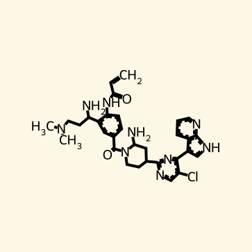 C=CC(=O)Nc1ccc(C(=O)N2CCC(c3ncc(Cl)c(-c4c[nH]c5ncccc45)n3)CC2N)cc1C(N)CCN(C)C